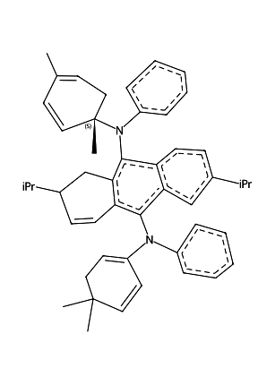 CC1=CC[C@](C)(N(c2ccccc2)c2c3c(c(N(C4=CCC(C)(C)C=C4)c4ccccc4)c4cc(C(C)C)ccc24)C=CC(C(C)C)C3)C=C1